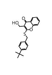 CC(C)(C)c1ccc(CSc2oc3ccccc3c(=O)c2CO)cc1